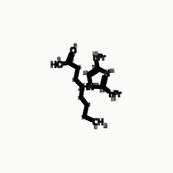 CCCCCCCC(=O)O.CCCc1c[nH]c(CCC)n1